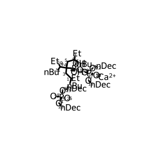 CCCCC(CC)CC(CC(CC)CCCC)(C(CC)CCCC)P(=O)(O)O.CCCCCCCCCCOP(=O)([O-])OCCCCCCCCCC.CCCCCCCCCCOP(=O)([O-])OCCCCCCCCCC.[Ca+2]